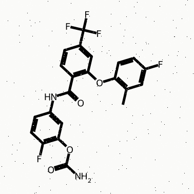 Cc1cc(F)ccc1Oc1cc(C(F)(F)F)ccc1C(=O)Nc1ccc(F)c(OC(N)=O)c1